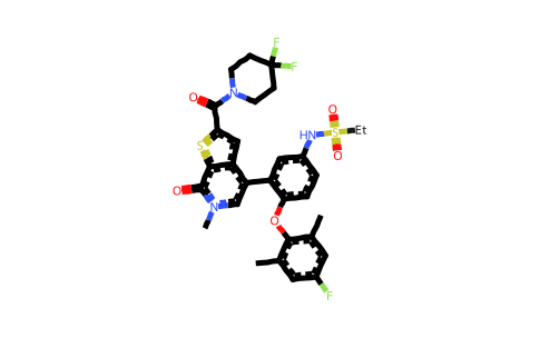 CCS(=O)(=O)Nc1ccc(Oc2c(C)cc(F)cc2C)c(-c2cn(C)c(=O)c3sc(C(=O)N4CCC(F)(F)CC4)cc23)c1